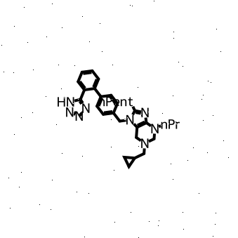 CCCCCc1nc2c(n1Cc1ccc(-c3ccccc3-c3nnn[nH]3)cc1)CN(CC1CC1)CN2CCC